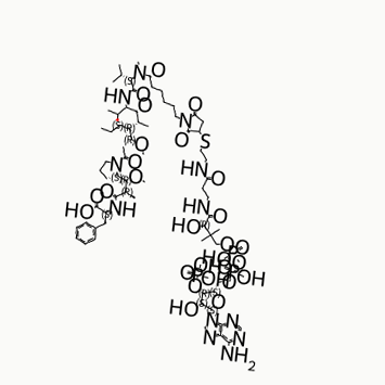 CC[C@H](C)[C@H](C(C)C(=O)C(NC(=O)[C@H](C(C)C)N(C)C(=O)CCCCCN1C(=O)CC(SCCNC(=O)CCNC(=O)[C@H](O)C(C)(C)COP(=O)(O)OP(=O)(O)OC[C@@H]2O[C@H](n3cnc4c(N)ncnc43)[C@@H](O)[C@H]2OP(=O)(O)O)C1=O)C(C)C)[C@@H](CC(=O)N1CCC[C@H]1[C@H](OC)[C@@H](C)C(=O)N[C@@H](Cc1ccccc1)C(=O)O)OC